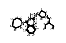 CCC(CC)CN1CC[C@@H](Nc2nc(N3CCCCCC3)c3ccccc3n2)C1